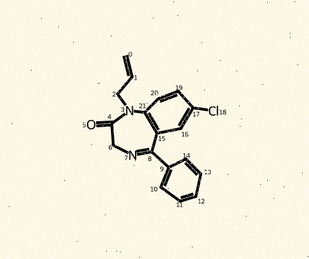 C=CCN1C(=O)CN=C(c2ccccc2)c2cc(Cl)ccc21